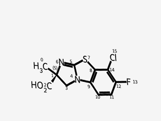 C[C@@]1(C(=O)O)CN2C(=N1)Sc1c2ccc(F)c1Cl